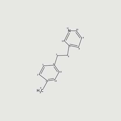 Cc1ccc(CCc2cccnc2)cc1